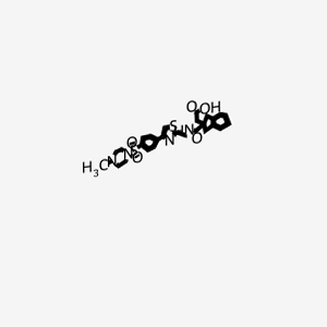 CN1CCN(S(=O)(=O)c2ccc(-c3csc(CNC(=O)C4(CC(=O)O)Cc5ccccc5C4)n3)cc2)CC1